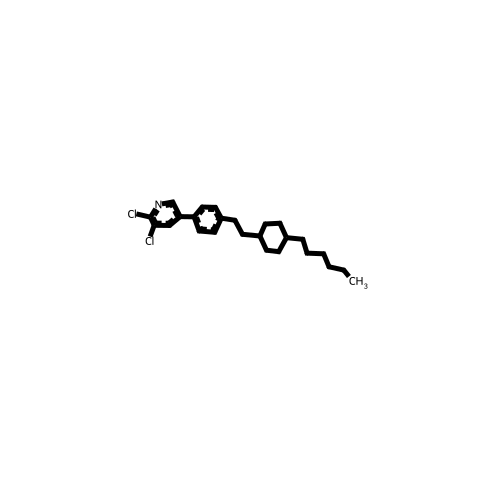 CCCCCCC1CCC(CCc2ccc(-c3cnc(Cl)c(Cl)c3)cc2)CC1